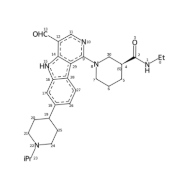 CCNC(=O)[C@H]1CCCN(c2ncc(C=O)c3[nH]c4cc(C5CCN(C(C)C)CC5)ccc4c23)C1